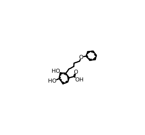 O=C(O)c1ccc(O)c(O)c1CCCCOc1ccccc1